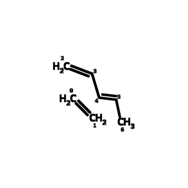 C=C.C=CC=CC